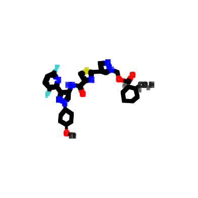 CCO[C@H]1CC[C@H](n2cc(NC(=O)c3csc(-c4cnn(COC(=O)[C@H]5CCCC[C@@H]5C(=O)O)c4)n3)c(-c3nc(F)ccc3F)n2)CC1